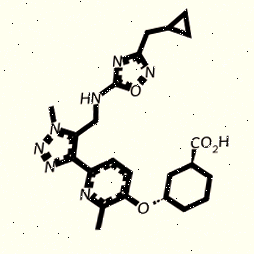 Cc1nc(-c2nnn(C)c2CNc2nc(CC3CC3)no2)ccc1O[C@H]1CCC[C@H](C(=O)O)C1